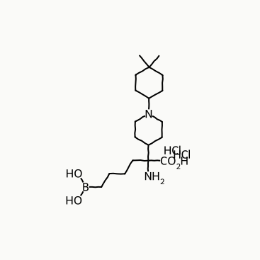 CC1(C)CCC(N2CCC(C(N)(CCCCB(O)O)C(=O)O)CC2)CC1.Cl.Cl